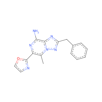 Cc1c(-c2ncco2)nc(N)c2nc(Cc3ccccc3)nn12